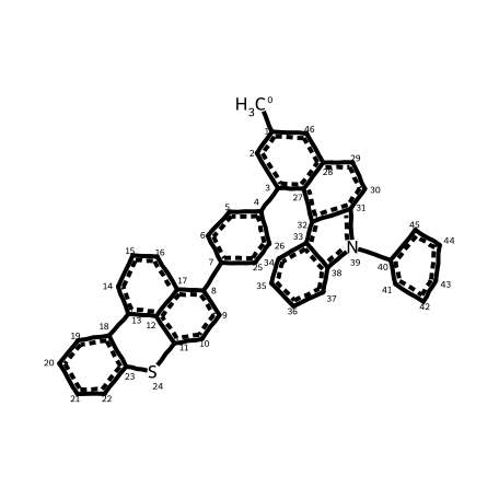 Cc1cc(-c2ccc(-c3ccc4c5c(cccc35)-c3ccccc3S4)cc2)c2c(ccc3c2c2ccccc2n3-c2ccccc2)c1